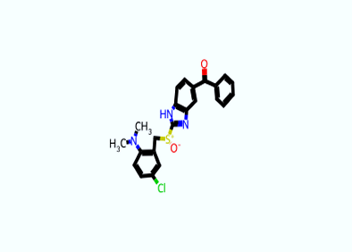 CN(C)c1ccc(Cl)cc1C[S+]([O-])c1nc2cc(C(=O)c3ccccc3)ccc2[nH]1